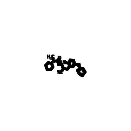 CN(C(=O)CCC(C#N)Cc1cc(Oc2ccccc2)ccc1N)C1CCCCC1